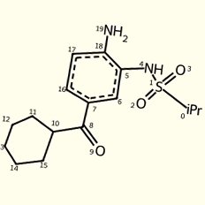 CC(C)S(=O)(=O)Nc1cc(C(=O)C2CCCCC2)ccc1N